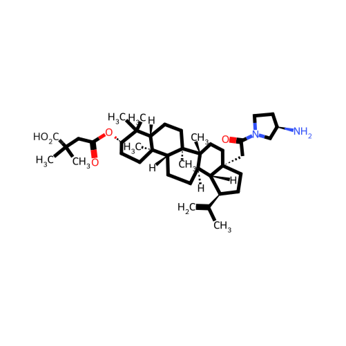 C=C(C)[C@@H]1CC[C@]2(CC(=O)N3CC[C@@H](N)C3)CC[C@]3(C)[C@H](CC[C@@H]4[C@@]5(C)CC[C@H](OC(=O)CC(C)(C)C(=O)O)C(C)(C)[C@@H]5CC[C@]43C)[C@@H]12